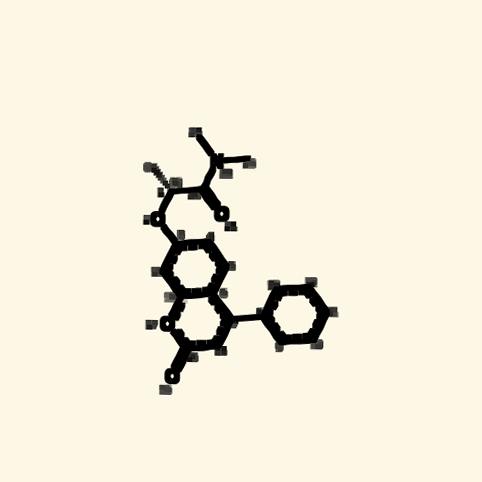 C[C@@H](Oc1ccc2c(-c3ccccc3)cc(=O)oc2c1)C(=O)N(C)C